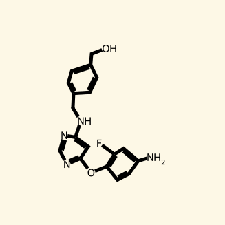 Nc1ccc(Oc2cc(NCc3ccc(CO)cc3)ncn2)c(F)c1